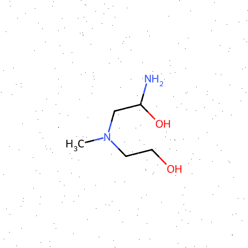 CN(CCO)CC(N)O